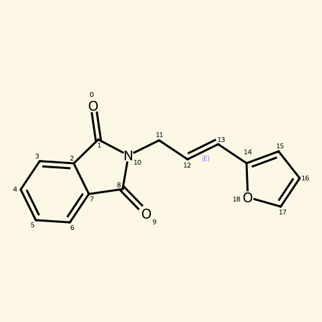 O=C1c2ccccc2C(=O)N1C/C=C/c1ccco1